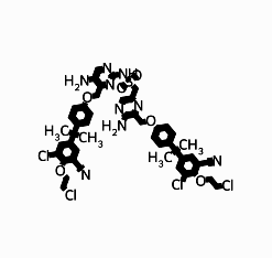 CC(C)(c1ccc(OCc2nc(NS(=O)(=O)Cc3cnc(N)c(COc4ccc(C(C)(C)c5cc(Cl)c(OCCCl)c(C#N)c5)cc4)n3)ncc2N)cc1)c1cc(Cl)c(OCCCl)c(C#N)c1